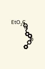 CCOC(=O)C1CCN(CCc2ccc3cc(OC4CCC(c5ccccc5)CC4)ccc3c2)CC1